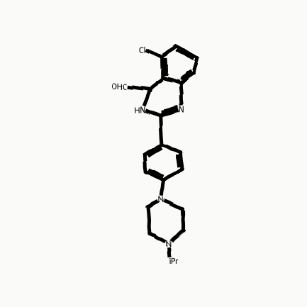 CC(C)N1CCN(c2ccc(C3=Nc4cccc(Cl)c4C(C=O)N3)cc2)CC1